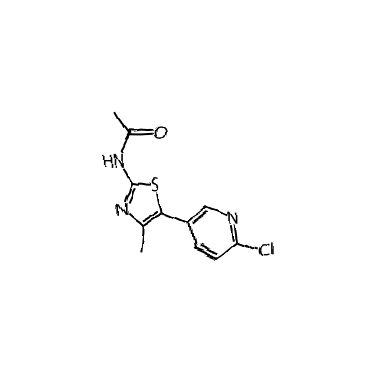 CC(=O)Nc1nc(C)c(-c2ccc(Cl)nc2)s1